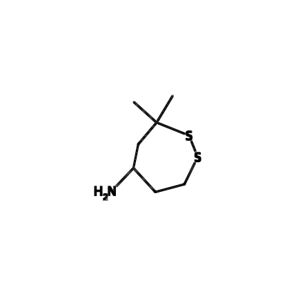 CC1(C)CC(N)CCSS1